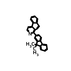 CC1(C)c2ccccc2-c2ccc(-c3nccc4c3ccc3ccccc34)cc21